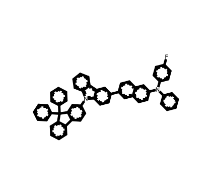 Fc1ccc(N(c2ccccc2)c2ccc3cc(-c4ccc5c(c4)c4ccccc4n5-c4ccc5c(c4)C(c4ccccc4)(c4ccccc4)c4ccccc4-5)ccc3c2)cc1